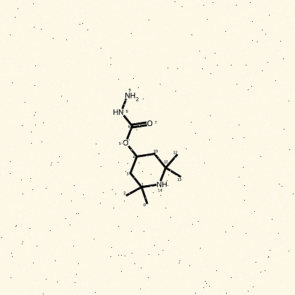 CC1(C)CC(OC(=O)NN)CC(C)(C)N1